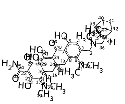 CN(Cc1cc(O)c2c(c1N(C)C)C[C@H]1C[C@H]3[C@H](N(C)C)C(O)=C(C(N)=O)C(=O)[C@@]3(O)C(O)=C1C2=O)C[C@H]1CCC2CC1C2(C)C